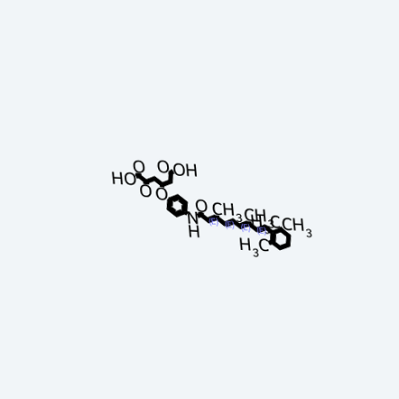 CC1=C(/C=C/C(C)=C/C=C/C(C)=C/C(=O)Nc2ccc(OC(CC(=O)O)CC(=O)C(=O)O)cc2)C(C)(C)CCC1